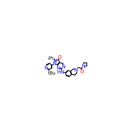 CC(C)n1c(=O)c2cnc(Nc3ccc4c(c3)CN(CC(=O)N3CCC3)CC4)nc2n1-c1ccnc(C(C)(C)C)c1